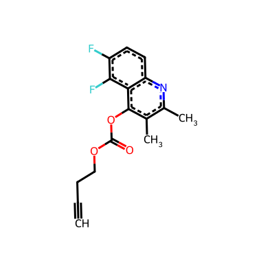 C#CCCOC(=O)Oc1c(C)c(C)nc2ccc(F)c(F)c12